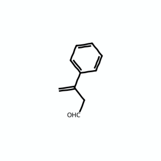 C=C(CC=O)c1ccccc1